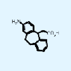 Nc1ccc2c(c1)CCc1ccccc1C2CC(=O)O